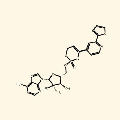 C[C@@]1(O)[C@H](O)[C@@H](COP2(=O)OCC=C(c3ccnc(-c4ccco4)c3)O2)O[C@H]1n1cnc2c(N)ncnc21